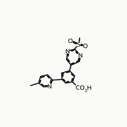 Cc1ccc(-c2cc(C(=O)O)cc(-c3cnc(S(C)(=O)=O)nc3)c2)nc1